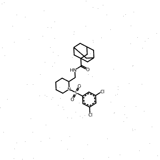 O=C(NCC1CCCCN1S(=O)(=O)c1cc(Cl)cc(Cl)c1)C12CC3CC(CC(C3)C1)C2